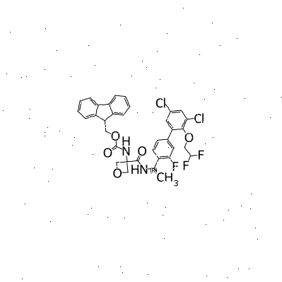 C[C@@H](NC(=O)C1(NC(=O)OCC2c3ccccc3-c3ccccc32)COC1)c1ccc(-c2cc(Cl)cc(Cl)c2OCC(F)F)cc1F